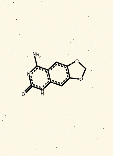 Nc1nc(=O)[nH]c2cc3c(cc12)OCO3